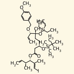 C=C[C@H](OCc1ccc(OC)cc1)[C@@](C)(CC[C@H](CC(=O)O[C@H](/C(C)=C/I)[C@@H](C)C=C)O[Si](C)(C)C(C)(C)C)O[Si](CC)(CC)CC